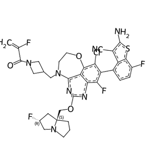 C=C(F)C(=O)N1CC(CN2CCOc3c(Cl)c(-c4ccc(F)c5sc(N)c(C#N)c45)c(F)c4nc(OC[C@@]56CCCN5C[C@H](F)C6)nc2c34)C1